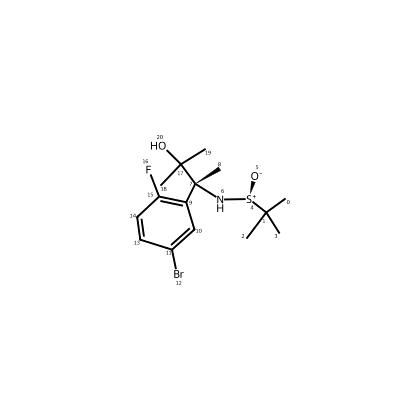 CC(C)(C)[S@+]([O-])N[C@](C)(c1cc(Br)ccc1F)C(C)(C)O